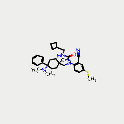 CSc1ccc(N(C[C@]2(C)CC[C@@](c3ccccc3)(N(C)C)CC2)C(=O)NCC2CCC2)c(C#N)c1